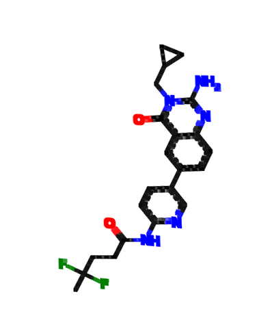 CC(F)(F)CCC(=O)Nc1ccc(-c2ccc3nc(N)n(CC4CC4)c(=O)c3c2)cn1